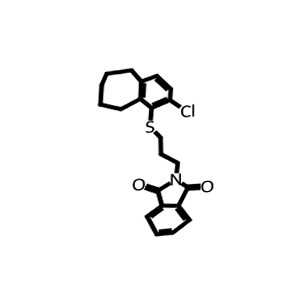 O=C1c2ccccc2C(=O)N1CCCSc1c(Cl)ccc2c1CCCCC2